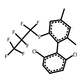 Cc1[c]c(C)c(-c2c(Cl)cccc2Cl)c(SC(F)(F)C(F)(F)C(F)(F)F)c1